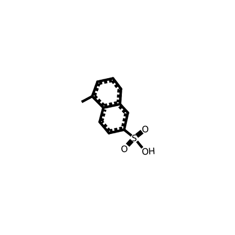 Cc1cccc2cc(S(=O)(=O)O)ccc12